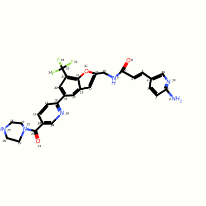 Nc1ccc(/C=C/C(=O)NCc2cc3cc(-c4ccc(C(=O)N5CCNCC5)cn4)cc(C(F)(F)F)c3o2)cn1